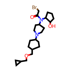 O=C(CBr)N(C1CCN(C2CCC(COCC3CC3)CC2)CC1)C1CCCC1O